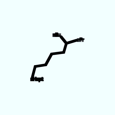 [CH2]CCC(CCCC)CCCCCCCCCCC